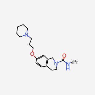 CC(C)NC(=O)N1CCc2ccc(OCCCN3CCCCC3)cc2C1